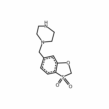 O=S1(=O)COc2cc(CN3CCNCC3)ccc21